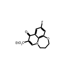 CCOC(=O)c1cn2c3c(cc(F)cc3c1=O)OCCC2